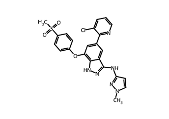 Cn1ccc(Nc2n[nH]c3c(Oc4ccc(S(C)(=O)=O)cc4)cc(-c4ncccc4Cl)cc23)n1